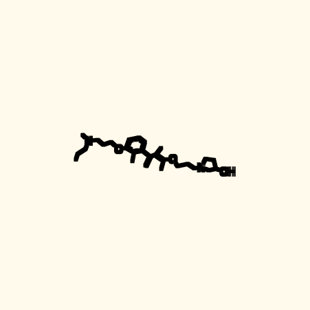 C=C(/C(C)=C(\C)OCCCN1CCC(O)C1)c1cccc(OCCCN(C)CCC)c1C